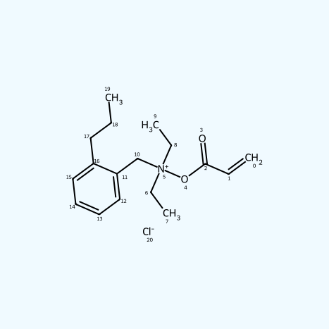 C=CC(=O)O[N+](CC)(CC)Cc1ccccc1CCC.[Cl-]